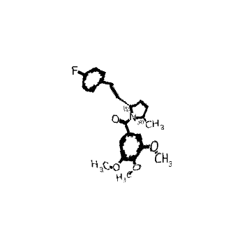 COc1cc(C(=O)N2[C@@H](CCc3ccc(F)cc3)CC[C@H]2C)cc(OC)c1OC